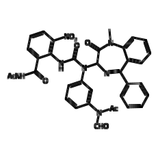 CC(=O)NC(=O)c1cccc([N+](=O)[O-])c1NC(=O)N(c1cccc(N(C=O)C(C)=O)c1)C1N=C(c2ccccc2)c2ccccc2N(C)C1=O